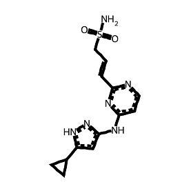 NS(=O)(=O)C/C=C/c1nccc(Nc2cc(C3CC3)[nH]n2)n1